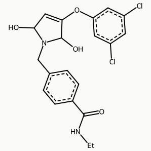 CCNC(=O)c1ccc(CN2C(O)C=C(Oc3cc(Cl)cc(Cl)c3)C2O)cc1